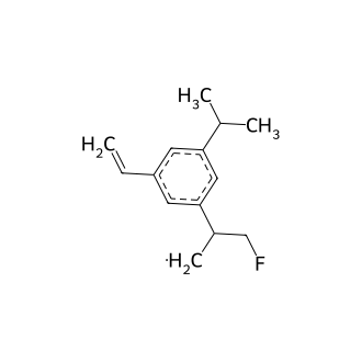 [CH2]C(CF)c1cc(C=C)cc(C(C)C)c1